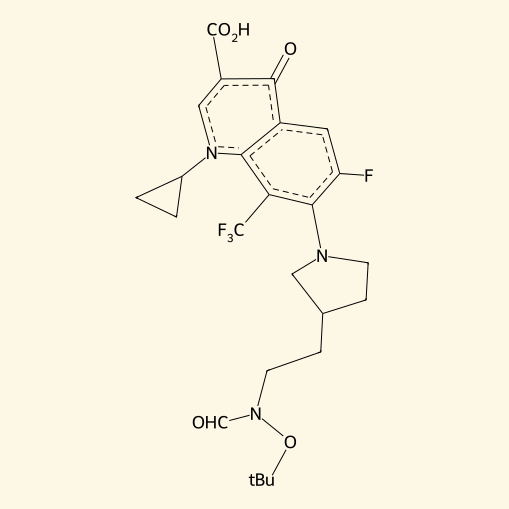 CC(C)(C)ON(C=O)CCC1CCN(c2c(F)cc3c(=O)c(C(=O)O)cn(C4CC4)c3c2C(F)(F)F)C1